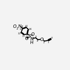 C#CCOCCNS(=O)(=O)c1ccc([N+](=O)[O-])cc1